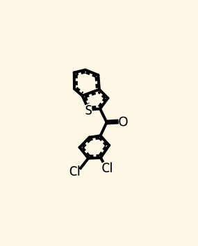 O=C(c1ccc(Cl)c(Cl)c1)c1cc2ccccc2s1